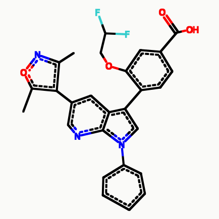 Cc1noc(C)c1-c1cnc2c(c1)c(-c1ccc(C(=O)O)cc1OCC(F)F)cn2-c1ccccc1